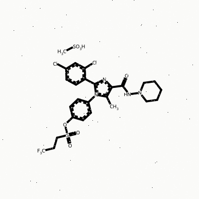 CS(=O)(=O)O.Cc1c(C(=O)NN2CCCCC2)nc(-c2ccc(Cl)cc2Cl)n1-c1ccc(OS(=O)(=O)CCC(F)(F)F)cc1